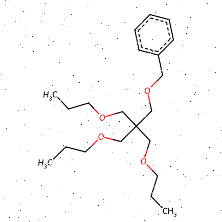 CCCOCC(COCCC)(COCCC)COCc1ccccc1